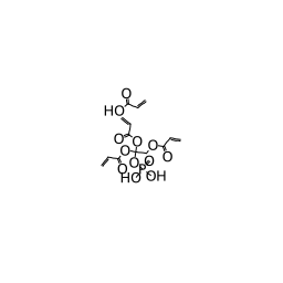 C=CC(=O)O.C=CC(=O)OCC(OC(=O)C=C)(OC(=O)C=C)OP(=O)(O)O